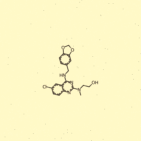 CN(CCO)c1nc(NCc2ccc3c(c2)OCO3)c2cc(Cl)ccc2n1